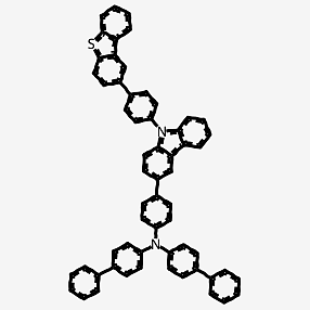 c1ccc(-c2ccc(N(c3ccc(-c4ccccc4)cc3)c3ccc(-c4ccc5c(c4)c4ccccc4n5-c4ccc(-c5ccc6sc7ccccc7c6c5)cc4)cc3)cc2)cc1